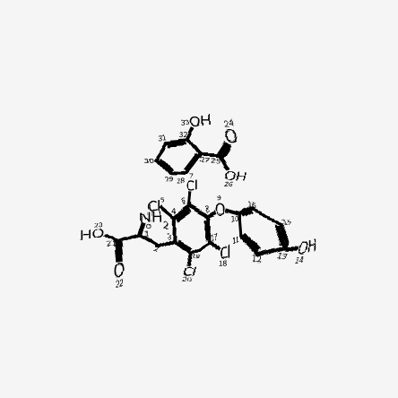 NC(Cc1c(Cl)c(Cl)c(Oc2ccc(O)cc2)c(Cl)c1Cl)C(=O)O.O=C(O)c1ccccc1O